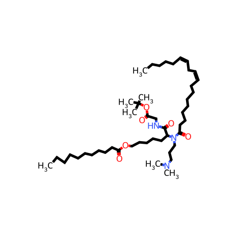 CCCCC/C=C\C/C=C\CCCCCCCC(=O)N(CCCN(C)C)C(CCCCCOC(=O)CCCCCCCCCC)C(=O)NCC(=O)OC(C)(C)C